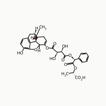 C[C@H](OC(=O)[C@@H](OC(=O)[C@H](O)[C@@H](O)C(=O)OC1=CC[C@@]2(O)[C@H]3Cc4ccc(O)c5c4[C@@]2(CCN3C)[C@H]1O5)c1ccccc1)C(=O)O